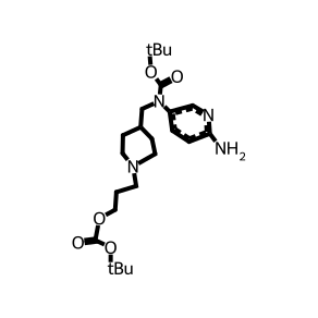 CC(C)(C)OC(=O)OCCCN1CCC(CN(C(=O)OC(C)(C)C)c2ccc(N)nc2)CC1